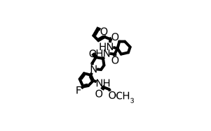 COCC(=O)Nc1cc(F)ccc1N1CCC(NC(=O)C2(NC(=O)c3ccco3)CCCCC2)C(=O)C1